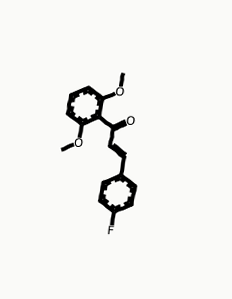 COc1cccc(OC)c1C(=O)C=Cc1ccc(F)cc1